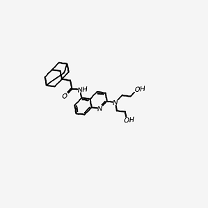 O=C(CC12CC3CC(CC(C3)C1)C2)Nc1cccc2nc(N(CCO)CCO)ccc12